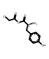 N[C@@H](Cc1ccc(O)cc1)C(=O)OC(=O)CCl